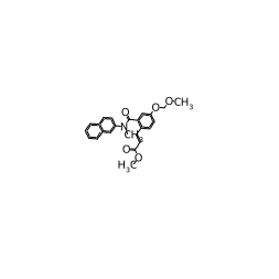 COCOc1ccc(/C=C/C(=O)OC)c(C(=O)N(C)c2ccc3ccccc3c2)c1